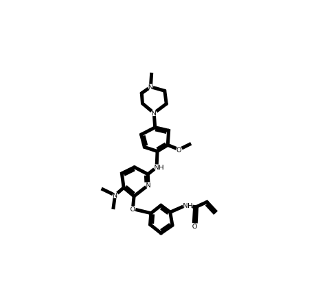 C=CC(=O)Nc1cccc(Oc2nc(Nc3ccc(N4CCN(C)CC4)cc3OC)ccc2N(C)C)c1